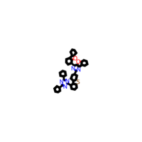 c1ccc(-c2nc(-c3ccccc3)nc(-c3cccc4sc5cc(-c6nc(-c7cccc8c7oc7ccccc78)c7oc8ccccc8c7n6)ccc5c34)n2)cc1